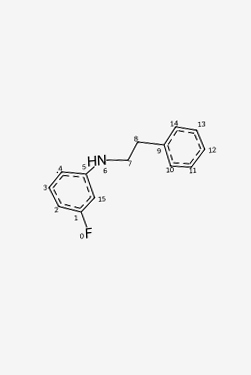 Fc1cc[c]c(NCCc2ccccc2)c1